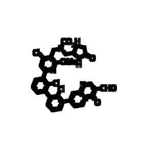 COc1nc(-c2cccc(-c3cccc(-c4ccn5c(=O)c(C=O)cnc5c4)c3Cl)c2Cl)cc(Cl)c1CN(CC1CCC(=O)N1)C(=O)O